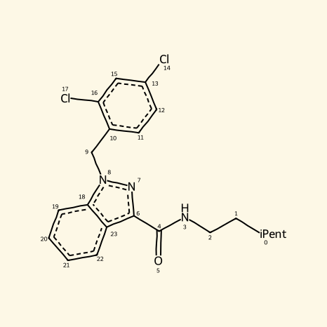 CCCC(C)CCNC(=O)c1nn(Cc2ccc(Cl)cc2Cl)c2ccccc12